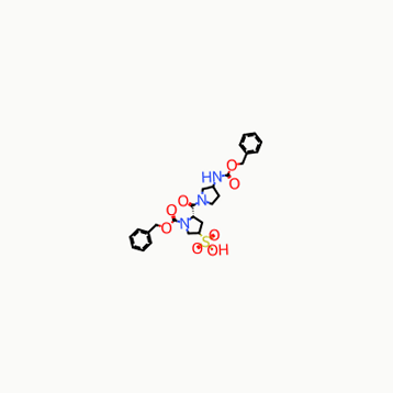 O=C(NC1CCN(C(=O)[C@@H]2C[C@@H](S(=O)(=O)O)CN2C(=O)OCc2ccccc2)C1)OCc1ccccc1